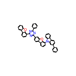 c1ccc(-c2ccc3c4ccccc4n(-c4cccc5c4oc4cc(-c6nc(-c7ccccc7)nc(-c7cccc8c7oc7ccccc78)n6)ccc45)c3c2)cc1